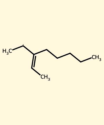 C[CH]C(=CC)CCCCC